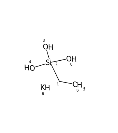 CC[Si](O)(O)O.[KH]